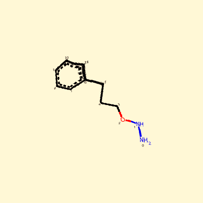 NNOCCCc1ccccc1